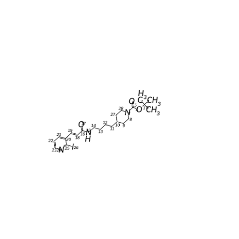 CC(C)(C)OC(=O)N1CCC(CCCCNC(=O)/C=C/c2cccnc2I)CC1